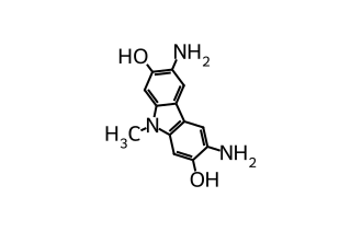 Cn1c2cc(O)c(N)cc2c2cc(N)c(O)cc21